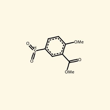 COC(=O)c1cc([SH](=O)=O)ccc1OC